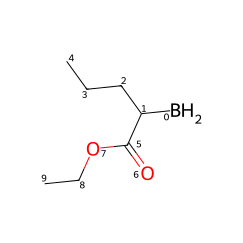 BC(CCC)C(=O)OCC